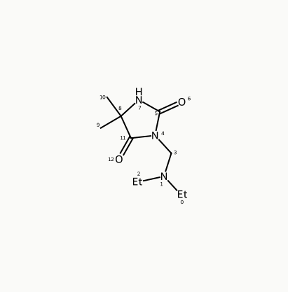 CCN(CC)CN1C(=O)NC(C)(C)C1=O